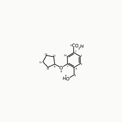 O=C(O)c1ccc(CO)c(OC2CCCC2)c1